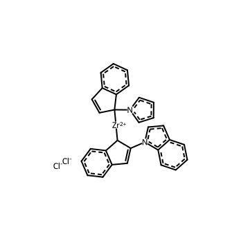 C1=C[C]([Zr+2][CH]2C(n3ccc4ccccc43)=Cc3ccccc32)(n2cccc2)c2ccccc21.[Cl-].[Cl-]